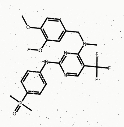 COc1ccc(CN(C)c2nc(Nc3ccc(P(C)(C)=O)cc3)ncc2C(F)(F)F)cc1OC